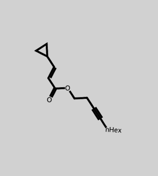 CCCCCCC#CCCOC(=O)C=CC1CC1